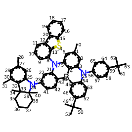 Cc1cc2c3c(c1)N(c1cccc4c1sc1ccccc14)c1cc(N4c5cc(C)cc(C)c5C5(C)CCCCC45C)ccc1B3c1cc(C(C)(C)C)ccc1N2c1ccc(C(C)(C)C)cc1